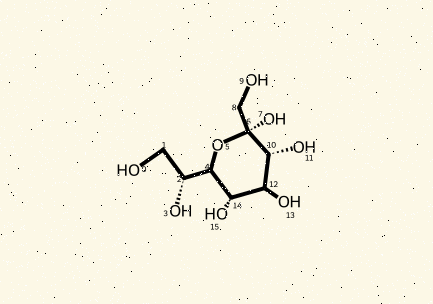 OC[C@@H](O)C1O[C@@](O)(CO)[C@H](O)C(O)[C@@H]1O